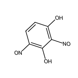 O=Nc1ccc(O)c(N=O)c1O